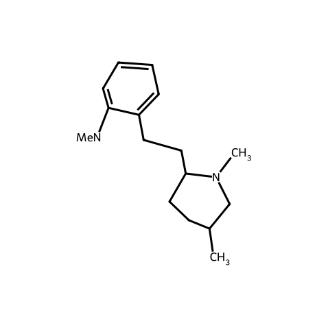 CNc1ccccc1CCC1CCC(C)CN1C